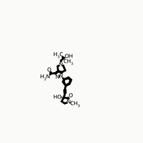 CN1CC[C@@](O)(C#Cc2cccc(-n3nc(C(N)=O)c4c3CCN(CC(C)(C)O)C4)c2)C1=O